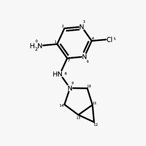 Nc1cnc(Cl)nc1NN1CC2CC2C1